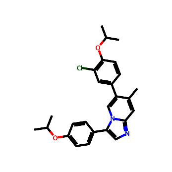 Cc1cc2ncc(-c3ccc(OC(C)C)cc3)n2cc1-c1ccc(OC(C)C)c(Cl)c1